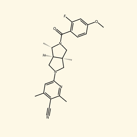 COc1ccc(C(=O)N2C[C@@]3(C)CN(c4cc(C)c(C#N)c(C)n4)C[C@H]3[C@@H]2C)c(F)c1